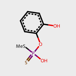 CSP(O)(=S)Oc1ccccc1O